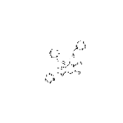 CCCN1C(=O)CC(OCc2ccccc2)C(O)(OCc2ccccc2)C1COCc1ccccc1